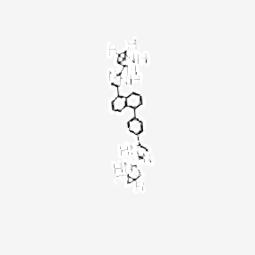 c1cc(-c2cnc([C@H]3N[C@@H]4C5C3[C@@H]54)[nH]2)c2cccc(-c3ccc(-c4cnc([C@@H]5C[C@H]6C[C@H]6N5)[nH]4)cc3)c2c1